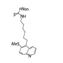 CCCCCCCCCC(=S)NCCCCCCc1c(SC)ccc2ncccc12